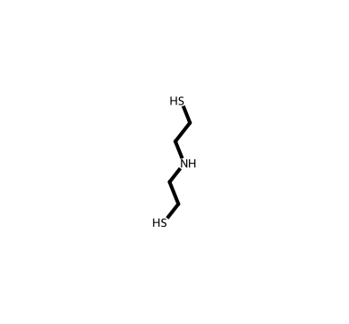 SCCNCCS